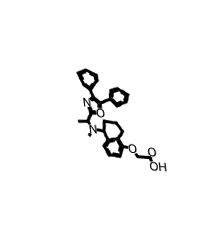 CC(c1nc(-c2ccccc2)c(-c2ccccc2)o1)N(C)C1CCCc2c(OCC(=O)O)cccc21